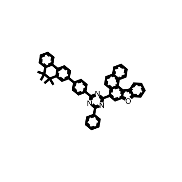 CC1(C)c2ccccc2-c2ccc(-c3ccc(-c4nc(-c5ccccc5)nc(-c5cc6oc7ccccc7c6c6c5ccc5ccccc56)n4)cc3)cc2C1(C)C